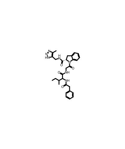 CCC(C)C(NC(=O)Cc1ccccc1)C(=O)NCC(=O)N1c2ccccc2C[C@H]1C(=O)NCc1[nH]nnc1C